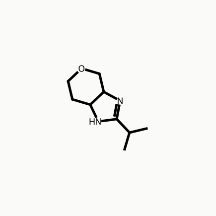 CC(C)C1=NC2COCCC2N1